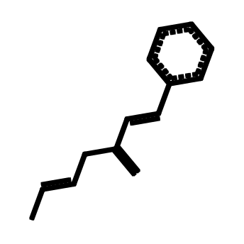 C=C(C=Cc1ccccc1)CC=CC